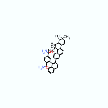 CC1(C)C=CC2=C(C1)CC(C)(C)c1c2ccc2cc(-c3ccc4ccccc4c3-c3cc(C(N)=O)ccc3C(N)=O)ccc12